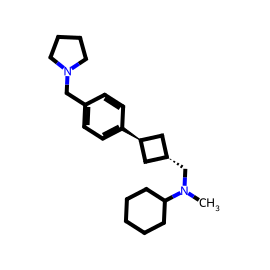 CN(C[C@H]1C[C@H](c2ccc(CN3CCCC3)cc2)C1)C1CCCCC1